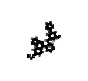 Cc1ccc(C(=O)N2CCOC[C@H]2Cc2cc(F)cc(-n3nccn3)c2)c(-n2nccn2)c1